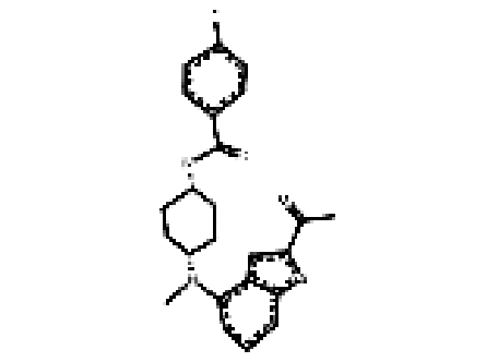 CC(=O)c1cc2c(N(C)[C@H]3CC[C@@H](NC(=O)c4ccc(F)cc4)CC3)cccc2s1